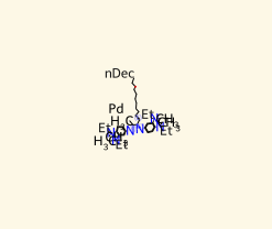 CCCCCCCCCCCCCCCCCCC/C=C/C(=N\c1ccc(N(C)CC)c(N(C)CC)c1)C(/C)=N/c1ccc(N(C)CC)c(N(C)CC)c1.[Pd]